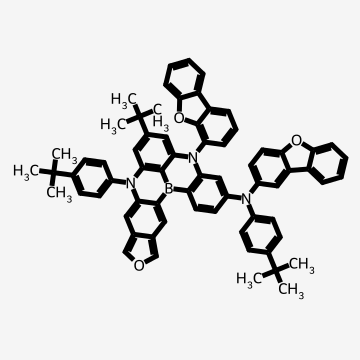 CC(C)(C)c1ccc(N(c2ccc3c(c2)N(c2cccc4c2oc2ccccc24)c2cc(C(C)(C)C)cc4c2B3c2cc3cocc3cc2N4c2ccc(C(C)(C)C)cc2)c2ccc3oc4ccccc4c3c2)cc1